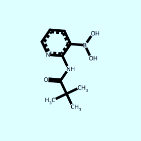 CC(C)(C)C(=O)Nc1ncccc1B(O)O